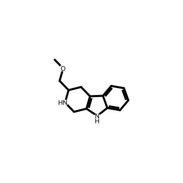 COCC1Cc2c([nH]c3ccccc23)CN1